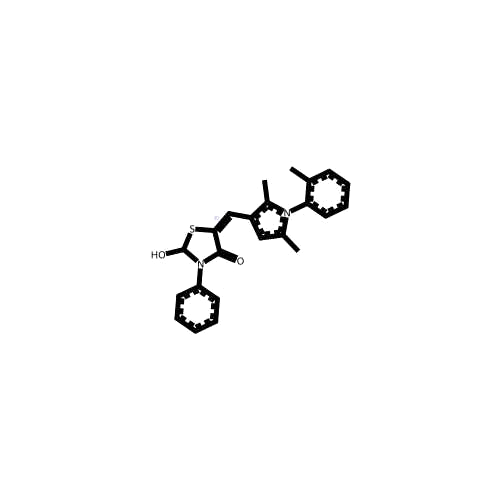 Cc1ccccc1-n1c(C)cc(/C=C2/SC(O)N(c3ccccc3)C2=O)c1C